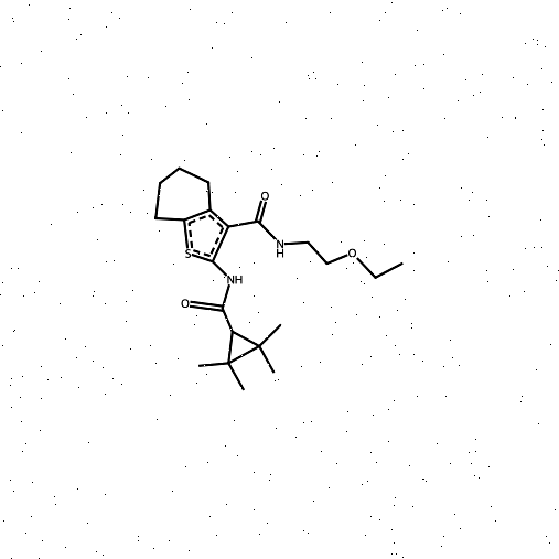 CCOCCNC(=O)c1c(NC(=O)C2C(C)(C)C2(C)C)sc2c1CCCC2